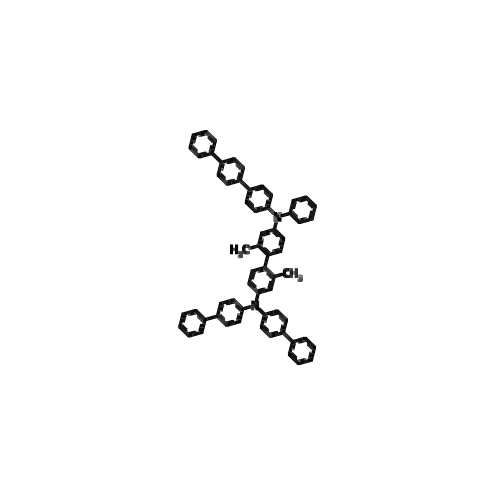 Cc1cc(N(c2ccccc2)c2ccc(-c3ccc(-c4ccccc4)cc3)cc2)ccc1-c1ccc(N(c2ccc(-c3ccccc3)cc2)c2ccc(-c3ccccc3)cc2)cc1C